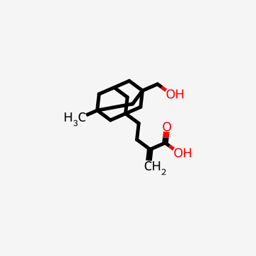 C=C(CCC12CC3CC(C)(CC(CO)(C3)C1)C2)C(=O)O